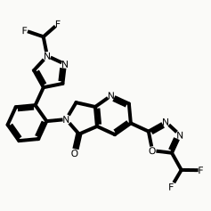 O=C1c2cc(-c3nnc(C(F)F)o3)cnc2CN1c1ccccc1-c1cnn(C(F)F)c1